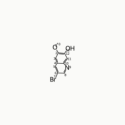 COc1cc2cc(Br)cnc2cc1O